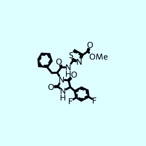 COC(=O)c1csc(NC(=O)C(Cc2ccccc2)N2C(=O)NC(c3ccc(F)cc3F)C2=O)n1